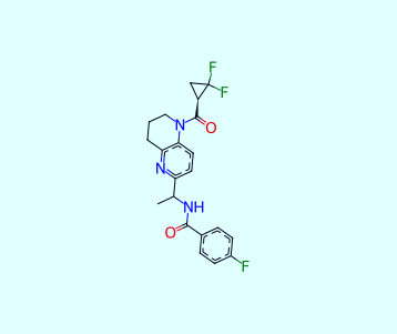 CC(NC(=O)c1ccc(F)cc1)c1ccc2c(n1)CCCN2C(=O)[C@H]1CC1(F)F